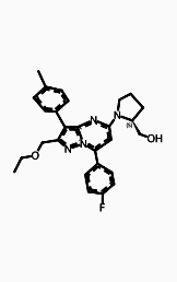 CCOCc1nn2c(-c3ccc(F)cc3)cc(N3CCC[C@H]3CO)nc2c1-c1ccc(C)cc1